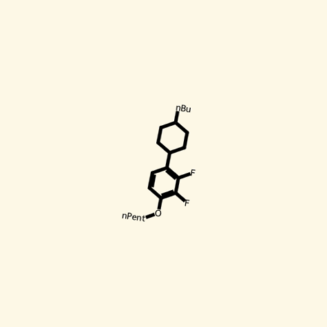 CCCCCOc1ccc(C2CCC(CCCC)CC2)c(F)c1F